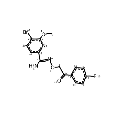 COc1nc(/C(N)=N/OCC(=O)c2ccc(F)cc2)ccc1Br